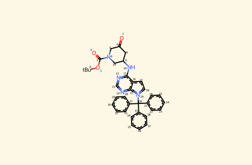 CC(C)(C)OC(=O)N1CC(=O)CC(Nc2ncnc3c2ccn3C(c2ccccc2)(c2ccccc2)c2ccccc2)C1